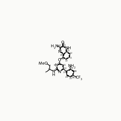 COCC(C)Nc1nc(Oc2cccc3[nH]c(=O)c(N)nc23)cc(-c2ccc(C(F)(F)F)cc2N)n1